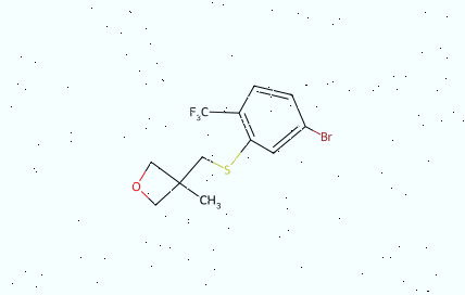 CC1(CSc2cc(Br)ccc2C(F)(F)F)COC1